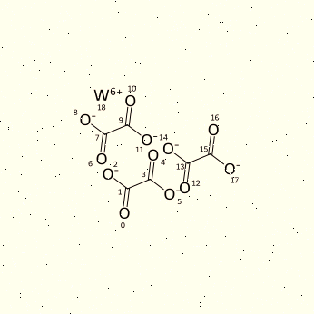 O=C([O-])C(=O)[O-].O=C([O-])C(=O)[O-].O=C([O-])C(=O)[O-].[W+6]